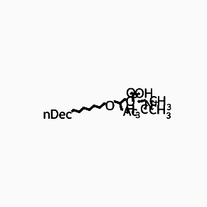 CCCCCCCCCCCCCCCCCOCC(COP(=O)(O)CC[N+](C)(C)C)CC(C)=O